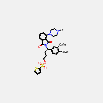 CCN1CCN(c2cccc3c2C(=O)N([C@H](CCCOS(=O)(=O)c2cccs2)c2ccc(OC)c(OC)c2)C3=O)CC1